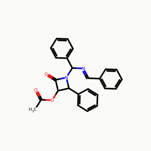 CC(=O)OC1C(=O)N(C(N=Cc2ccccc2)c2ccccc2)C1c1ccccc1